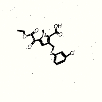 CCOC(=O)C(=O)c1cc(CSc2cccc(Cl)c2)c(C(=O)O)n1C